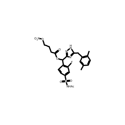 CC(=O)NS(=O)(=O)c1ccc(C(OC(=O)CCCO[N+](=O)[O-])c2n[nH]c(Cc3cc(C)ccc3C)n2)c(F)c1